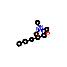 c1ccc(-c2ccc(-c3ccc(-c4ccc(-c5ccc6oc7cccc(-c8nc(-c9ccccc9)nc(-c9ccccc9)n8)c7c6c5)cc4)cc3)cc2)cc1